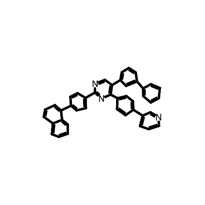 c1ccc(-c2cccc(-c3cnc(-c4ccc(-c5cccc6ccccc56)cc4)nc3-c3ccc(-c4cccnc4)cc3)c2)cc1